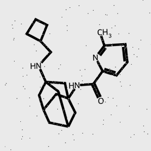 Cc1cccc(C(=O)NC23CC4CC(CC(NCC5CCC5)(C4)C2)C3)n1